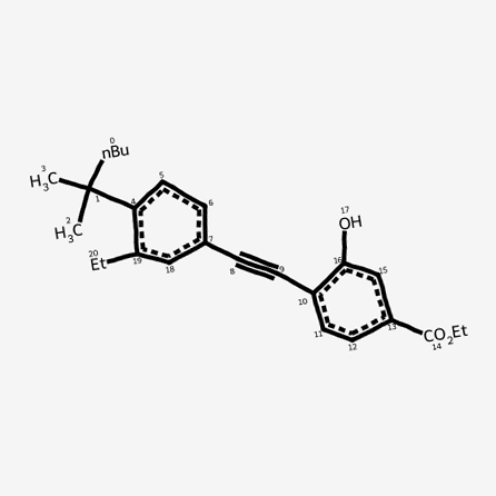 CCCCC(C)(C)c1ccc(C#Cc2ccc(C(=O)OCC)cc2O)cc1CC